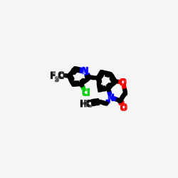 C#CCN1C(=O)COc2ccc(-c3ncc(C(F)(F)F)cc3Cl)cc21